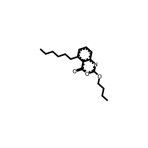 CCCCCCc1cccc2nc(OCCCC)oc(=O)c12